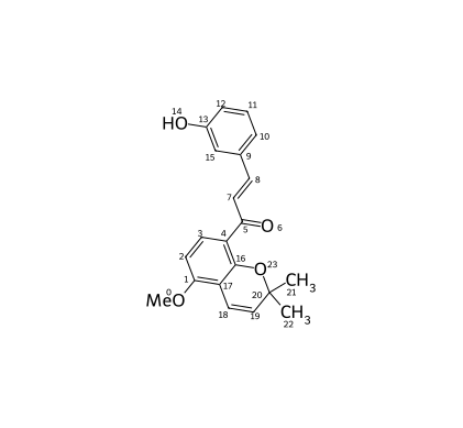 COc1ccc(C(=O)C=Cc2cccc(O)c2)c2c1C=CC(C)(C)O2